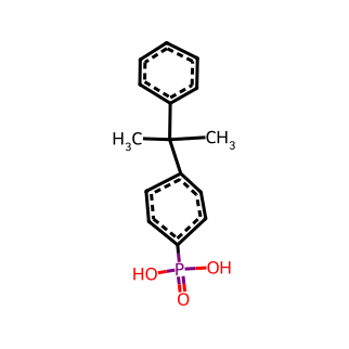 CC(C)(c1ccccc1)c1ccc(P(=O)(O)O)cc1